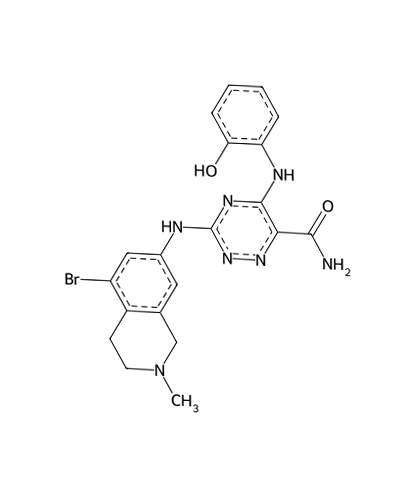 CN1CCc2c(Br)cc(Nc3nnc(C(N)=O)c(Nc4ccccc4O)n3)cc2C1